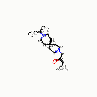 CCC(=O)CN1CCC2(CC1)CCN(C(C)C)CC2